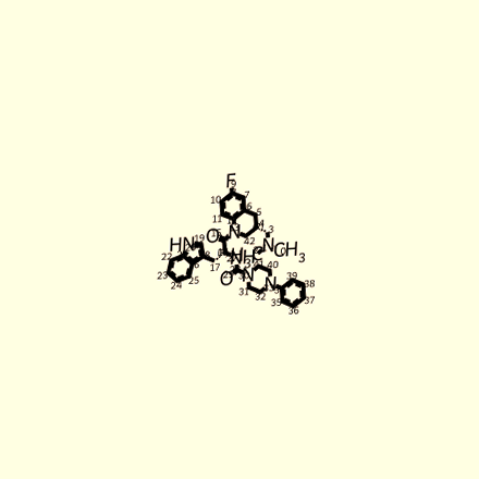 CN(C)C[C@H]1Cc2cc(F)ccc2N(C(=O)[C@@H](Cc2c[nH]c3ccccc23)NC(=O)N2CCN(c3ccccc3)CC2)C1